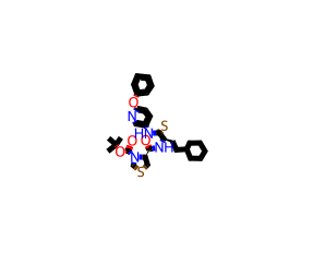 CC(C)(C)OC(=O)N1CSC[C@H]1C(=O)N[C@H](CCC1CCCCC1)C(=S)Nc1ccc(Oc2ccccc2)nc1